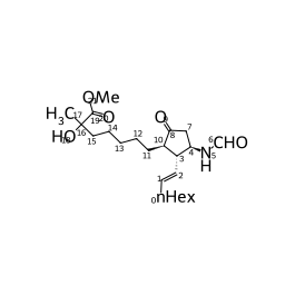 CCCCCCC=C[C@H]1[C@H](NC=O)CC(=O)[C@@H]1CCCCCC(C)(O)C(=O)OC